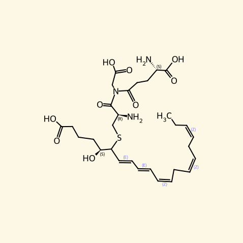 CC/C=C\C/C=C\C\C=C/C=C/C=C/C(SC[C@H](N)C(=O)N(CC(=O)O)C(=O)CC[C@H](N)C(=O)O)[C@@H](O)CCCC(=O)O